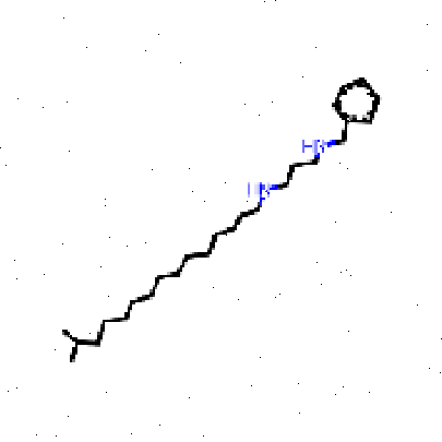 CC(C)CCCCCCCCCCCCCNCCCNCc1ccccc1